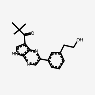 CC(C)(C)C(=O)c1c[nH]c2ncc(-c3cccc(CCO)c3)nc12